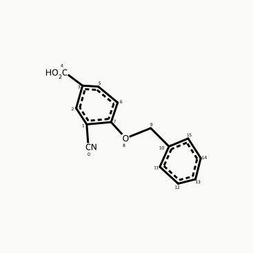 N#Cc1cc(C(=O)O)ccc1OCc1ccccc1